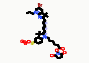 CCC[n+]1cc(Br)cc2c1N=C(/C=C/C=C/C=C1/N(CCCCCC(=O)ON3C(=O)CCC3=O)c3ccc(SOO[O-])cc3C1(C)C)C2(C)C